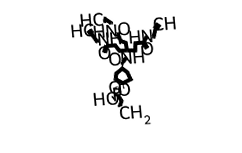 C#CCNC(=O)CCC(CCC(=O)NCC#C)(CCC(=O)NCC#C)NC(=O)[C@H]1CC[C@H](OP(=O)(O)CC=C)CC1